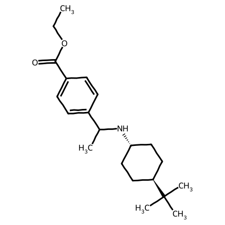 CCOC(=O)c1ccc(C(C)N[C@H]2CC[C@H](C(C)(C)C)CC2)cc1